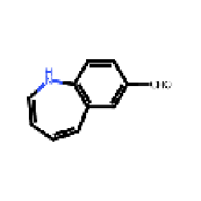 O=Cc1ccc2c(c1)C=CC=CN2